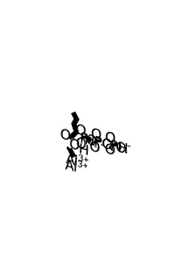 CCCCC(=O)OCC.O=[PH]([O-])[O-].O=[PH]([O-])[O-].O=[PH]([O-])[O-].[Al+3].[Al+3]